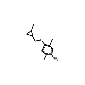 Cc1cc(OCC2CC2C)c(C)cc1N